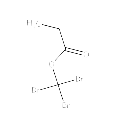 CCC(=O)OC(Br)(Br)Br